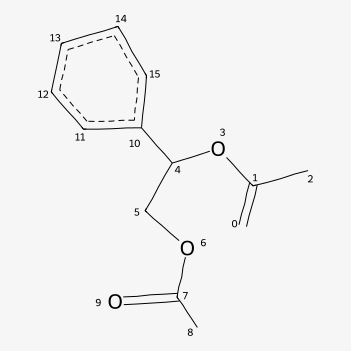 C=C(C)OC(COC(C)=O)c1ccccc1